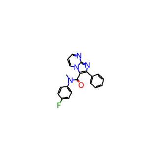 CN(C(=O)c1c(-c2ccccc2)nc2ncccn12)c1ccc(F)cc1